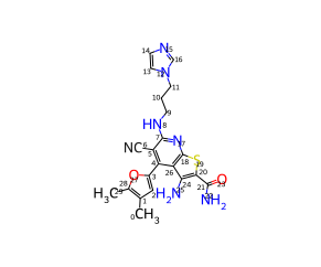 Cc1cc(-c2c(C#N)c(NCCCn3ccnc3)nc3sc(C(N)=O)c(N)c23)oc1C